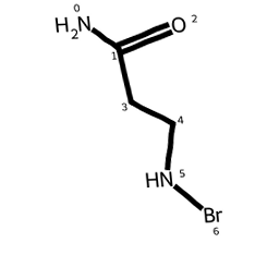 NC(=O)CCNBr